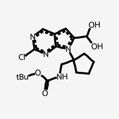 CC(C)(C)OC(=O)NCC1(n2c(C(O)O)cc3cnc(Cl)nc32)CCCC1